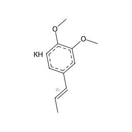 C/C=C/c1ccc(OC)c(OC)c1.[KH]